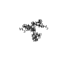 COC[C@]1(C)C[C@H](Cn2c(-c3cc4cccnc4n3CC3CC3)nc3cc(C(=O)N4CC(N)C[C@@H](F)C4)cc(OC)c32)C1